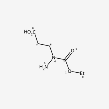 CCOC(=O)N(N)CCC(=O)O